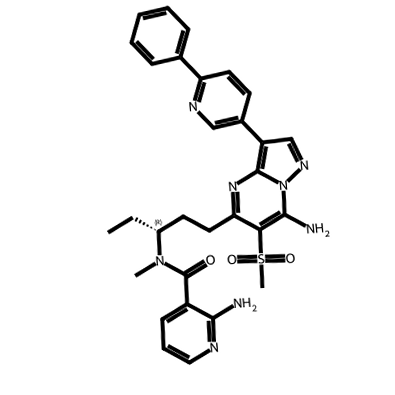 CC[C@H](CCc1nc2c(-c3ccc(-c4ccccc4)nc3)cnn2c(N)c1S(C)(=O)=O)N(C)C(=O)c1cccnc1N